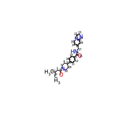 CC(C)CC(=O)N1CCC(c2ccc(C(=O)NCc3ccn4ccnc4c3)cc2)CC1